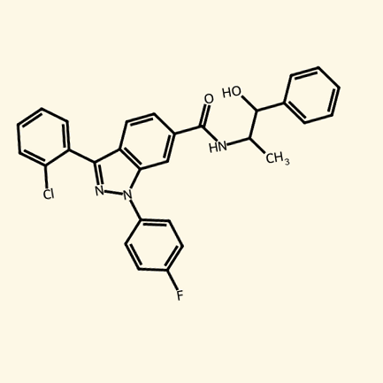 CC(NC(=O)c1ccc2c(-c3ccccc3Cl)nn(-c3ccc(F)cc3)c2c1)C(O)c1ccccc1